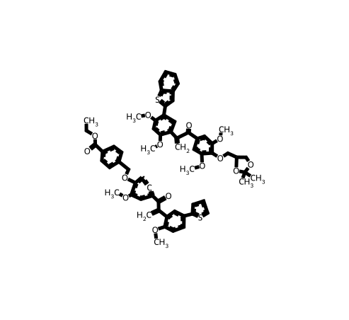 C=C(C(=O)c1cc(OC)c(OCC2COC(C)(C)O2)c(OC)c1)c1cc(-c2cc3ccccc3s2)c(OC)cc1OC.C=C(C(=O)c1ccc(OCc2ccc(C(=O)OCC)cc2)c(OC)c1)c1cc(-c2cccs2)ccc1OC